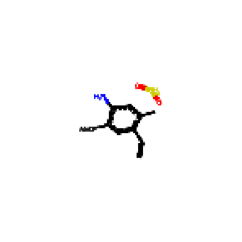 C=Cc1cc(OC)c(N)cc1C.O=[SH2]=O